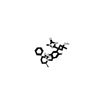 CC(=O)OC1(C)CC(c2nn(C)c(=O)[nH]2)(c2cc(F)c(CN3[C@@H](C)CC[C@H](c4ccccc4)S3(=O)=O)cc2F)C1